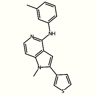 Cc1cccc(Nc2nccc3c2cc(-c2ccsc2)n3C)c1